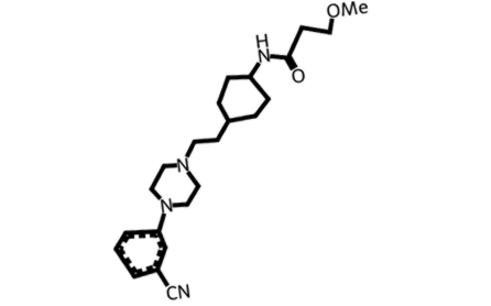 COCCC(=O)NC1CCC(CCN2CCN(c3cccc(C#N)c3)CC2)CC1